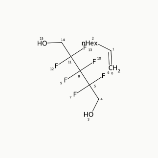 C=CCCCCCC.OCC(F)(F)C(F)(F)C(F)(F)CO